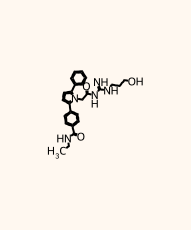 CCNC(=O)c1ccc(-c2ccc(-c3ccccc3)n2CC(=O)NC(=N)NCCCO)cc1